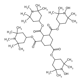 CN1C(C)(C)CC(OC(=O)C2CC(C(=O)OC3CC(C)(C)N(O)C(C)(C)C3)CC(C(=O)OC3CC(C)(C)N(O)C(C)(C)C3)C2C(=O)OC2CC(C)(C)N(C)C(C)(C)C2)CC1(C)C